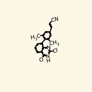 Cc1cc(/C=C/C#N)cc(C)c1-c1cccc2c(=O)[nH]c(Cl)nc12